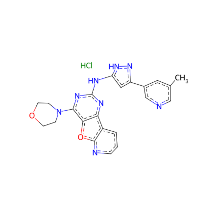 Cc1cncc(-c2cc(Nc3nc(N4CCOCC4)c4oc5ncccc5c4n3)[nH]n2)c1.Cl